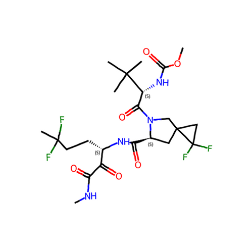 CNC(=O)C(=O)[C@H](CCC(C)(F)F)NC(=O)[C@@H]1CC2(CN1C(=O)[C@@H](NC(=O)OC)C(C)(C)C)CC2(F)F